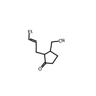 CCC=CCC1C(=O)CCC1CC#N